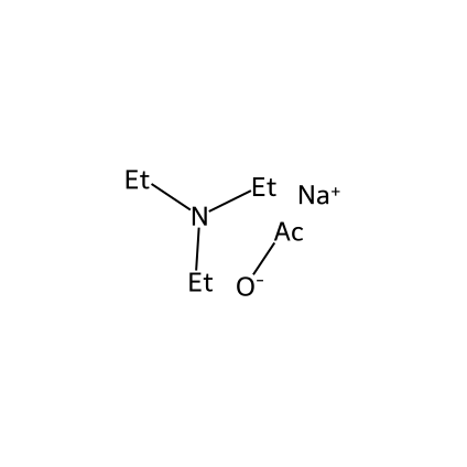 CC(=O)[O-].CCN(CC)CC.[Na+]